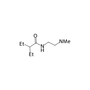 CCC(CC)C(=O)NCCNC